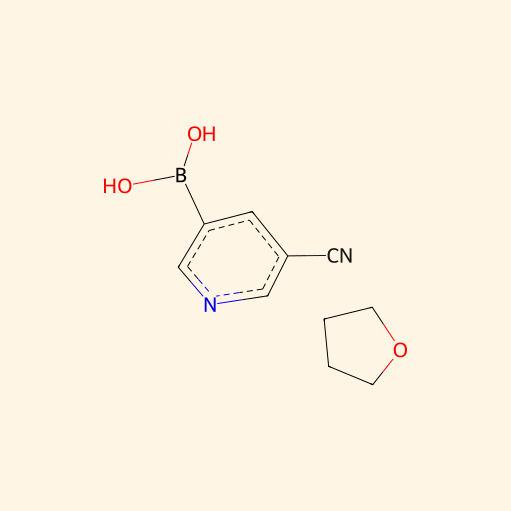 C1CCOC1.N#Cc1cncc(B(O)O)c1